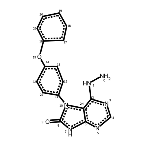 NNc1ncnc2[nH]c(=O)n(-c3ccc(Oc4ccccc4)cc3)c12